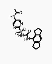 CC(=O)Nc1cnc(S(=O)(=O)NC(=O)Nc2c3c(cc4c2CCC4)CCC3)nc1